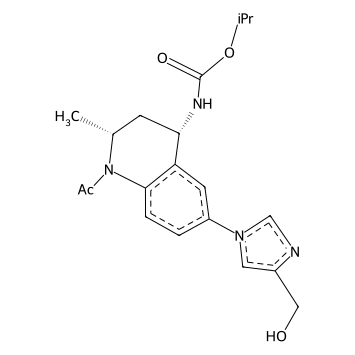 CC(=O)N1c2ccc(-n3cnc(CO)c3)cc2[C@@H](NC(=O)OC(C)C)C[C@H]1C